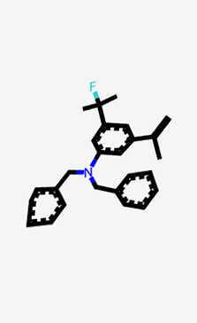 C=C(C)c1cc(N(Cc2ccccc2)Cc2ccccc2)cc(C(C)(C)F)c1